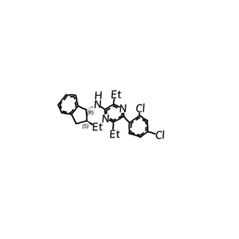 CCc1nc(-c2ccc(Cl)cc2Cl)c(CC)nc1N[C@H]1c2ccccc2C[C@@H]1CC